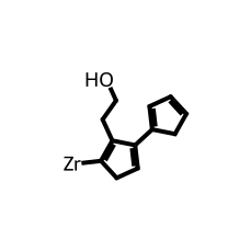 OCCC1=[C]([Zr])CC=C1C1=CC=CC1